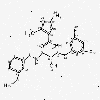 CCc1cccc(CNC[C@@H](O)[C@H](Cc2cc(F)cc(F)c2)NC(=O)c2cc(C)oc2C)c1